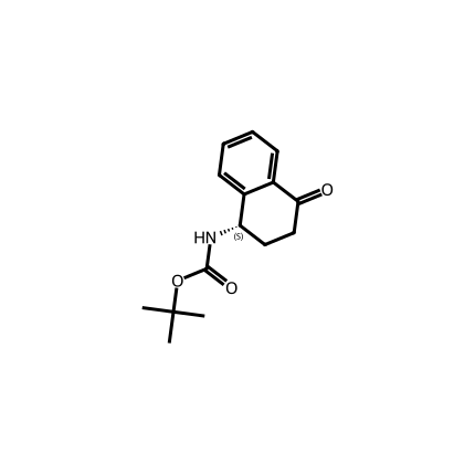 CC(C)(C)OC(=O)N[C@H]1CCC(=O)c2ccccc21